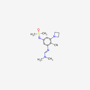 CN(C)C=Nc1cc(N=S(C)(C)=O)cc(N2CCC2)c1C#N